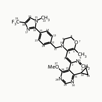 C=N/C(=C\C1=C(C)OCCN1Cc1ccc(-c2nc(C(F)(F)F)cn2C)cc1)c1c(OC)ncnc1C1CC1